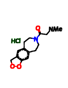 CNCC(=O)N1CCc2cc3c(cc2CC1)OOC3.Cl